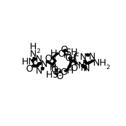 Nc1nc2c(ncn2[C@@H]2O[C@@H]3COP(=O)(S)O[C@H]4[C@H](F)[C@H](n5nnc6c(N)ncnc65)O[C@@H]4COP(=O)(S)O[C@@H]2C3)c(=O)[nH]1